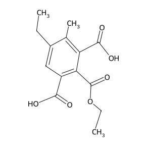 CCOC(=O)c1c(C(=O)O)cc(CC)c(C)c1C(=O)O